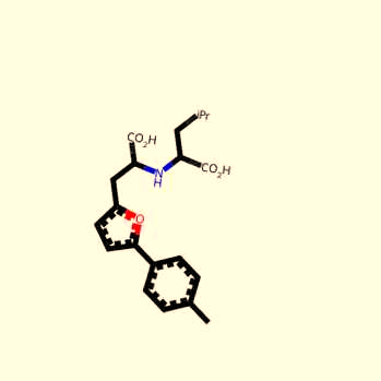 Cc1ccc(-c2ccc(CC(NC(CC(C)C)C(=O)O)C(=O)O)o2)cc1